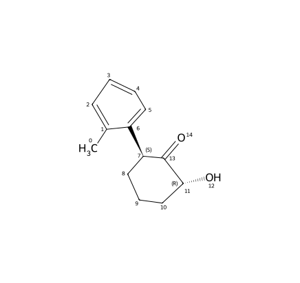 Cc1ccccc1[C@@H]1CCC[C@@H](O)C1=O